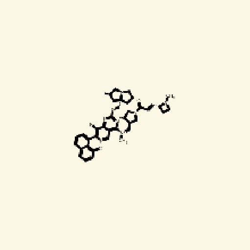 CN1CC[C@@H]1/C=C/C(=O)N1CC(/C=[N+](/C)c2nc(OC[C@@]34CCCN3C[C@H](F)C4)nc3c(F)c(-c4cccc5cccc(Cl)c45)ncc23)[C@H](F)C1